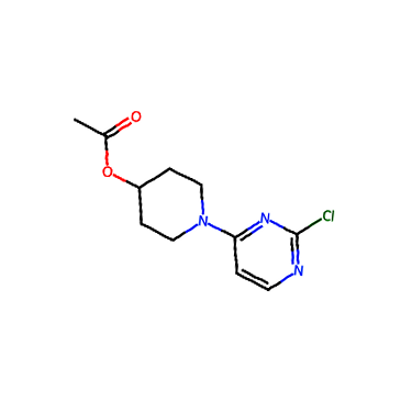 CC(=O)OC1CCN(c2ccnc(Cl)n2)CC1